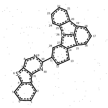 c1ccc2c(c1)sc1cnc(-c3ccc4c5cccc6c7ccccc7n(c4c3)c65)nc12